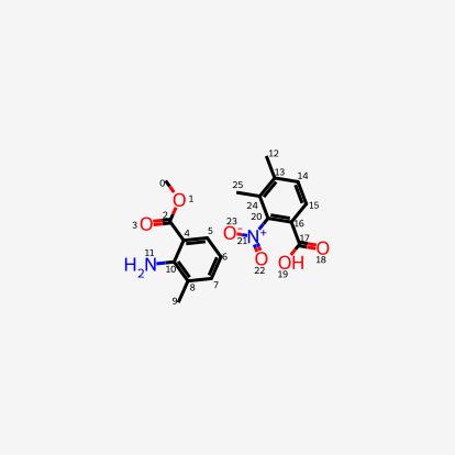 COC(=O)c1cccc(C)c1N.Cc1ccc(C(=O)O)c([N+](=O)[O-])c1C